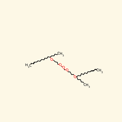 C=CC=CCCCCCCCCC(CCCCC)OCCCCOCOCOCCCCOC(CCCCC)CCCCCCCCC=CC=C